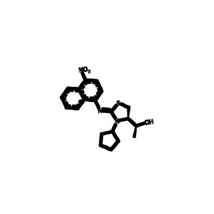 C[C@H](O)[C@@H]1CSC(=Nc2ccc([N+](=O)[O-])c3ccccc23)N1C1CCCC1